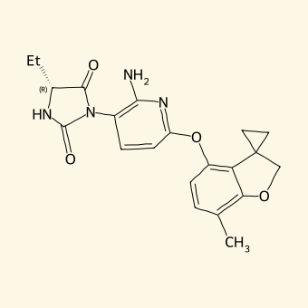 CC[C@H]1NC(=O)N(c2ccc(Oc3ccc(C)c4c3C3(CC3)CO4)nc2N)C1=O